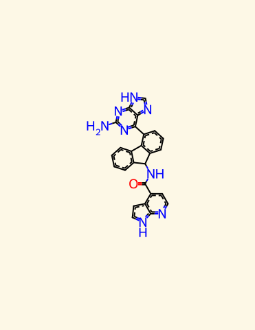 Nc1nc(-c2cccc3c2-c2ccccc2C3NC(=O)c2ccnc3[nH]ccc23)c2nc[nH]c2n1